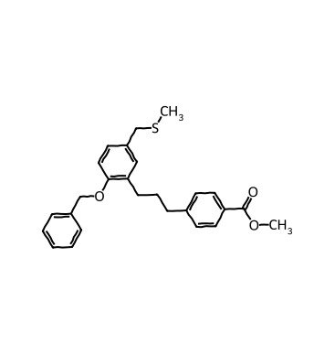 COC(=O)c1ccc(CCCc2cc(CSC)ccc2OCc2ccccc2)cc1